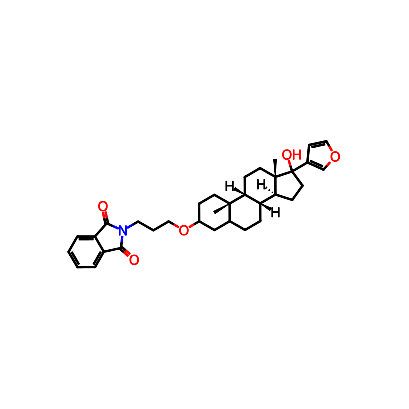 C[C@]12CCC(OCCCN3C(=O)c4ccccc4C3=O)CC1CC[C@@H]1[C@H]2CC[C@@]2(C)[C@H]1CCC2(O)c1ccoc1